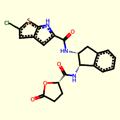 O=C1CC[C@@H](C(=O)N[C@H]2c3ccccc3C[C@H]2NC(=O)c2cc3cc(Cl)sc3[nH]2)O1